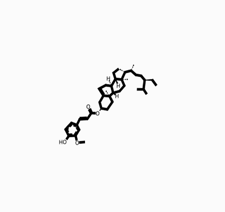 CC[C@H](CC[C@@H](C)[C@H]1CC[C@H]2[C@@H]3CC=C4C[C@@H](OC(=O)/C=C/c5ccc(O)c(OC)c5)CC[C@]4(C)[C@H]3CC[C@]12C)C(C)C